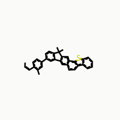 C/C=C\c1ccc(-c2ccc3c(c2)-c2cc4ccc5c6ccccc6sc5c4cc2C3(C)C)cc1C